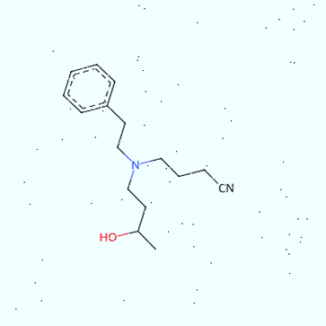 CC(O)CCN(CCCC#N)CCc1ccccc1